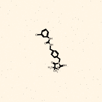 CC1(C)NC(=N)N(Cc2ccc(CNC(=O)Nc3cccc(Cl)c3)cc2)C1=O